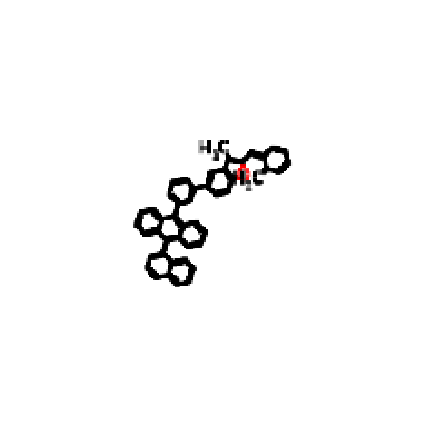 C=c1cccc/c1=C/c1oc2ccc(-c3cccc(-c4c5ccccc5c(-c5cccc6ccccc56)c5ccccc45)c3)cc2c1C